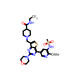 COc1ncc(-c2nc(N3CCOCC3)nc3c(CN4CCC(C(=O)NCC(F)(F)F)CC4)csc23)cc1NS(C)(=O)=O